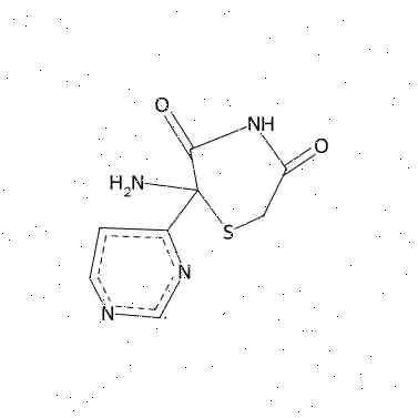 NC1(c2ccn[c]n2)SCC(=O)NC1=O